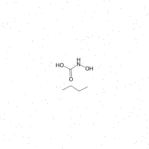 CCCC.O=C(O)NO